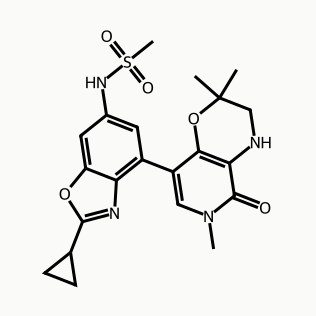 Cn1cc(-c2cc(NS(C)(=O)=O)cc3oc(C4CC4)nc23)c2c(c1=O)NCC(C)(C)O2